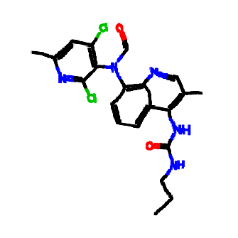 CCCNC(=O)Nc1c(C)cnc2c(N(C=O)c3c(Cl)cc(C)nc3Cl)cccc12